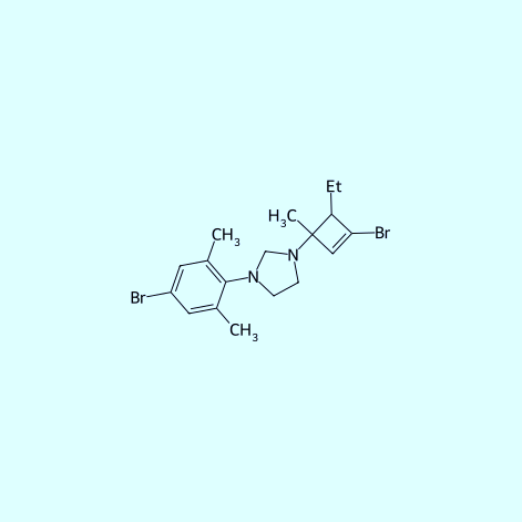 CCC1C(Br)=CC1(C)N1CCN(c2c(C)cc(Br)cc2C)C1